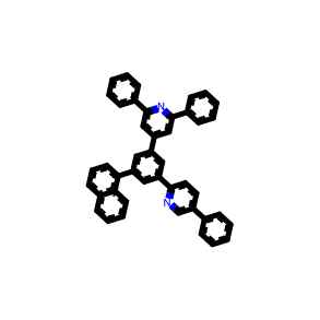 c1ccc(-c2ccc(-c3cc(-c4cc(-c5ccccc5)nc(-c5ccccc5)c4)cc(-c4cccc5ccccc45)c3)nc2)cc1